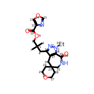 CCn1nc(CC(C)(C)COC(=O)c2cocn2)c2c1C(=O)NCC1(CCOCC1)C2